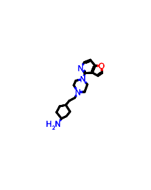 NC1CCC(CCN2CCN(c3nccc4occc34)CC2)CC1